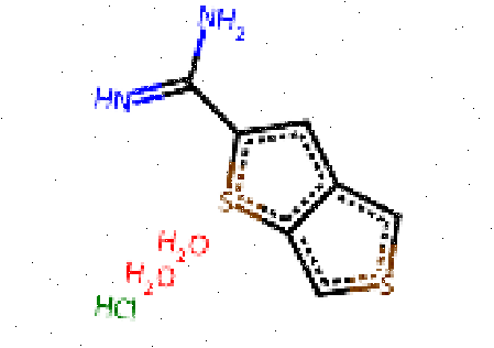 Cl.N=C(N)c1cc2cscc2s1.O.O